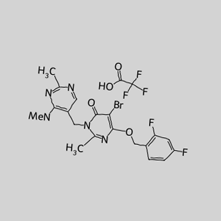 CNc1nc(C)ncc1Cn1c(C)nc(OCc2ccc(F)cc2F)c(Br)c1=O.O=C(O)C(F)(F)F